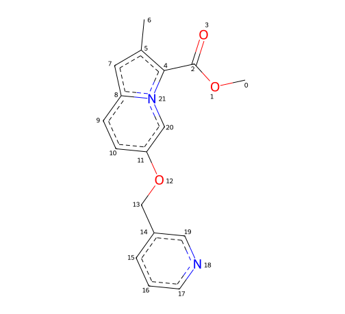 COC(=O)c1c(C)cc2ccc(OCc3cccnc3)cn12